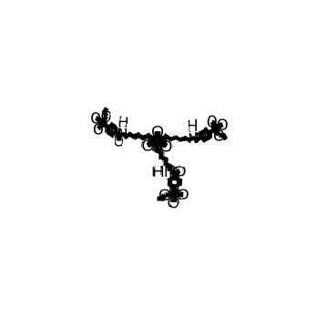 CCOc1c(N2CCN(CNCCCCCCn3c(=O)n(CCCCCCNC(=O)N4CCN(c5c(OCC)c(=O)c5=O)CC4)c(=O)n(CCCCCCNC(=O)N4CCN(c5c(OCC)c(=O)c5=O)CC4)c3=O)CC2)c(=O)c1=O